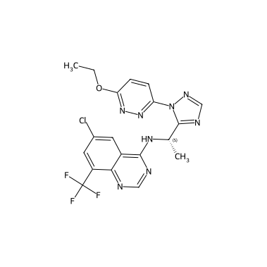 CCOc1ccc(-n2ncnc2[C@H](C)Nc2ncnc3c(C(F)(F)F)cc(Cl)cc23)nn1